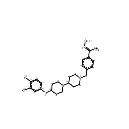 N/C(=N\C(=O)O)c1ccc(CN2CCC(N3CCC(Oc4ccc(Cl)c(Cl)c4)CC3)CC2)cc1